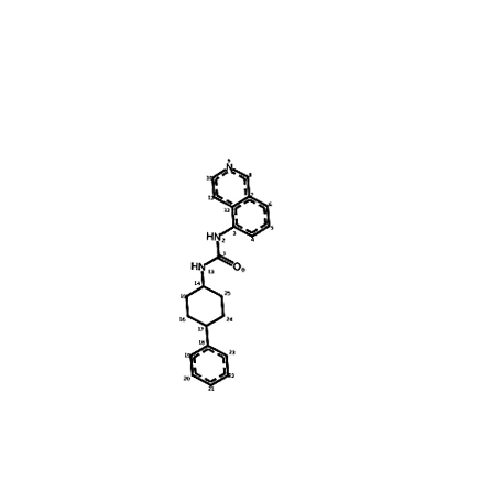 O=C(Nc1cccc2cnccc12)NC1CCC(c2ccccc2)CC1